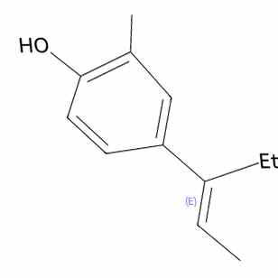 C/C=C(\CC)c1ccc(O)c(C)c1